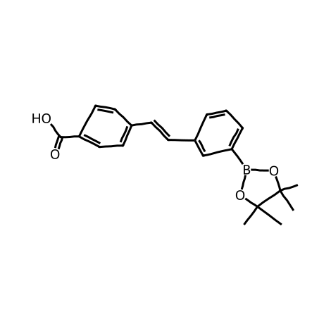 CC1(C)OB(c2cccc(C=Cc3ccc(C(=O)O)cc3)c2)OC1(C)C